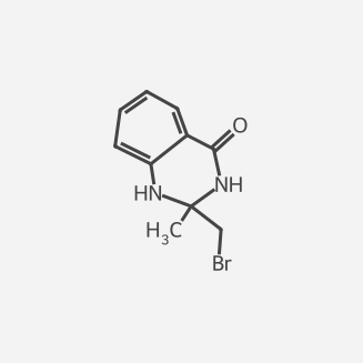 CC1(CBr)NC(=O)c2ccccc2N1